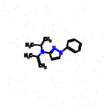 C=C(C)N(c1ccn(-c2ccccc2)n1)C(C)C